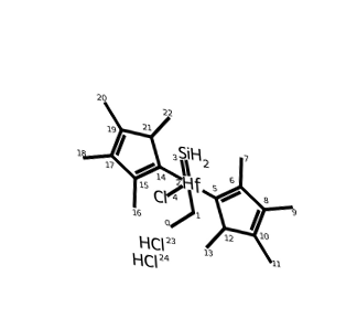 C[CH2][Hf](=[SiH2])([Cl])([C]1=C(C)C(C)=C(C)C1C)[C]1=C(C)C(C)=C(C)C1C.Cl.Cl